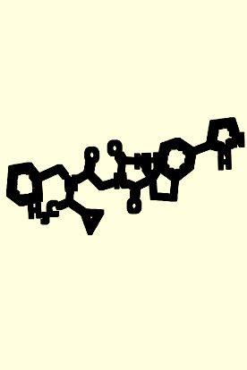 CC(C1CC1)N(Cc1ccccc1)C(=O)CN1C(=O)NC2(CCc3cc(-c4ccn[nH]4)ccc32)C1=O